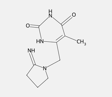 Cc1c(CN2CCCC2=N)[nH]c(=O)[nH]c1=O